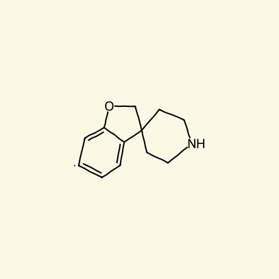 [c]1ccc2c(c1)OCC21CCNCC1